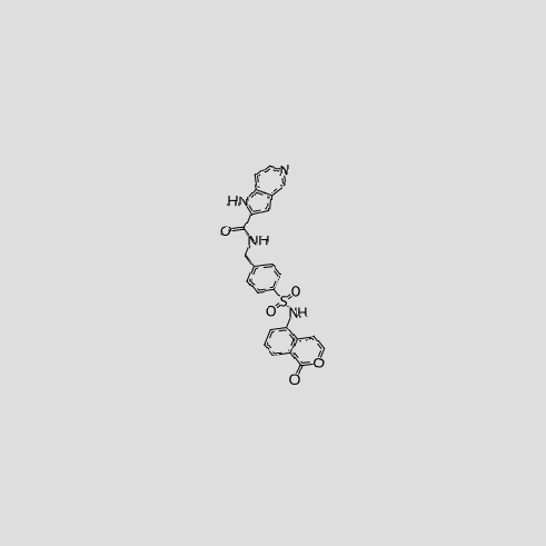 O=C(NCc1ccc(S(=O)(=O)Nc2cccc3c(=O)occc23)cc1)c1cc2cnccc2[nH]1